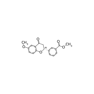 COC(=O)c1cccc([C@H]2CC(=O)c3cc(OC)ccc3O2)c1